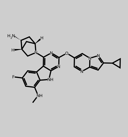 CNc1cc(F)cc2c1[nH]c1nc(Oc3cnc4cc(C5CC5)nn4c3)nc(N3C[C@H]4C[C@@H]3C[C@H]4N)c12